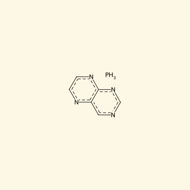 P.c1cnc2ncncc2n1